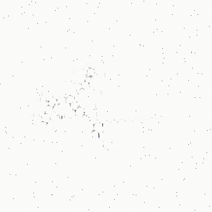 CCCCCCCCCCCCC/C=C/[C@@H](O)[C@H](CO[C@@H]1OC(CO)[C@@H](O[C@@H]2OC(CO[C@@H]3OC(CO)[C@@H](O[C@@H]4OC(CO)[C@H](O)[C@H](O)C4O)[C@H](O)C3NC(C)=O)[C@H](O)[C@H](O[C@@H]3OC(CO)[C@@H](O[C@@H]4OC(CO)[C@H](O)[C@H](O)C4O)[C@H](O)C3NC(C)=O)C2O)[C@H](O)C1O)NC(=O)CCCCCCCCCCCCCCCCCCCCCCCCC